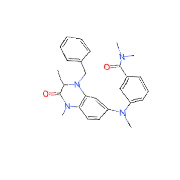 CC1C(=O)N(C)c2ccc(N(C)c3cccc(C(=O)N(C)C)c3)cc2N1Cc1ccccc1